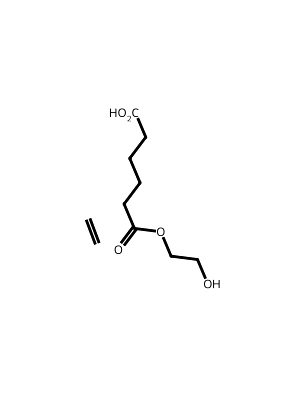 C=C.O=C(O)CCCCC(=O)OCCO